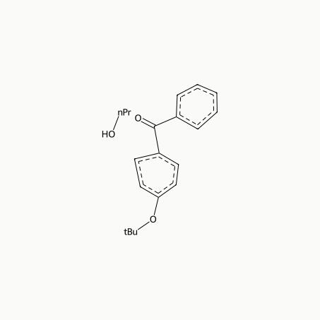 CC(C)(C)Oc1ccc(C(=O)c2ccccc2)cc1.CCCO